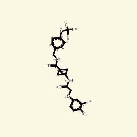 O=C(COc1ccc(Cl)c(F)c1)NC12CC(C(=O)NCc3ccc(OC(F)(F)F)cc3)(C1)C2